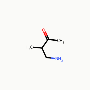 C[C](CN)C(C)=O